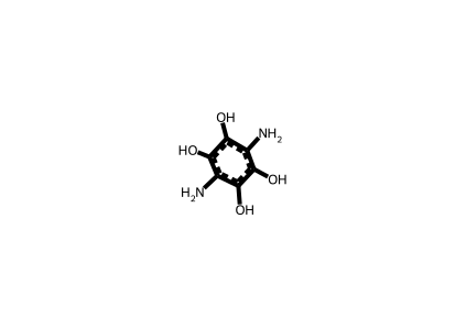 Nc1c(O)c(O)c(N)c(O)c1O